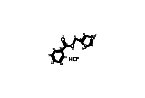 Cl.O=C(OCc1cncs1)c1ccccc1